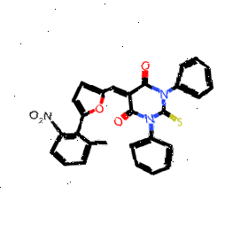 Cc1cccc([N+](=O)[O-])c1-c1ccc(C=C2C(=O)N(c3ccccc3)C(=S)N(c3ccccc3)C2=O)o1